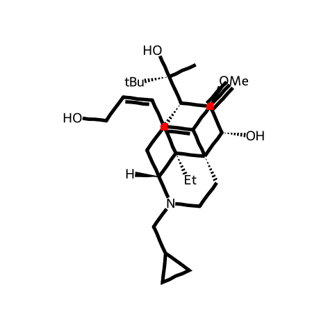 C#CC1=C(/C=C\CO)C[C@H]2N(CC3CC3)CC[C@@]13[C@@H](O)[C@H](OC)[C@@H]([C@](C)(O)C(C)(C)C)C[C@]23CC